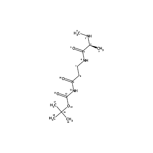 CN[C@@H](C)C(=O)NCCC(=O)NC(=O)OC(C)(C)C